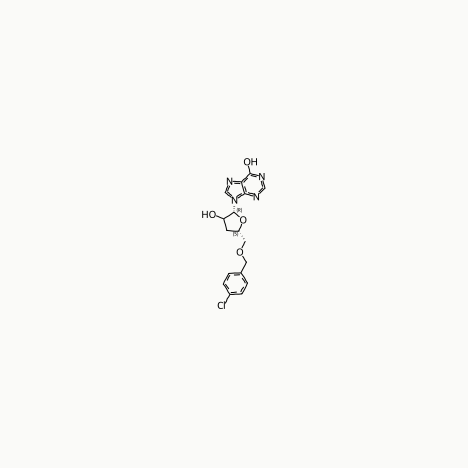 Oc1ncnc2c1ncn2[C@@H]1O[C@H](COCc2ccc(Cl)cc2)CC1O